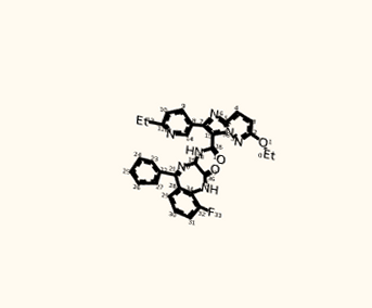 CCOc1ccc2nc(-c3ccc(CC)nc3)c(C(=O)NC3N=C(c4ccccc4)c4cccc(F)c4NC3=O)n2n1